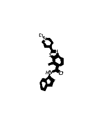 CCN1CCC(c2nc3ccc(C(=O)N[C@H]4CCc5ccccc54)c(C)c3s2)CC1